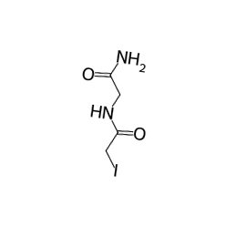 NC(=O)CNC(=O)CI